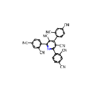 N#Cc1ccc(-c2nc(-c3ccc(C#N)cc3C#N)c(C#N)c(-c3ccc(C#N)cc3C#N)c2C#N)c(C#N)c1